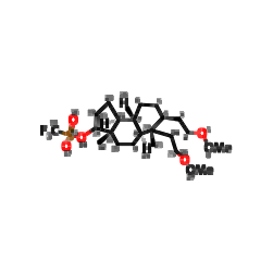 COOCC[C@@H]1CC[C@@H]2[C@H](CC[C@]3(C)C(OS(=O)(=O)C(F)(F)F)=CC[C@@H]23)[C@@]1(C)CCOOC